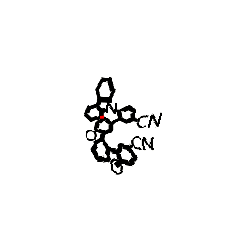 N#Cc1ccc(-n2c3c(c4ccccc42)CCC=C3)c(-c2ccc3oc4ccc5oc6ccc(C#N)cc6c5c4c3c2)c1